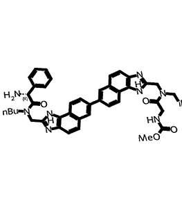 CCCCN(Cc1nc2ccc3cc(-c4ccc5c(ccc6nc(CN(CC(C)C)C(=O)CNC(=O)OC)[nH]c65)c4)ccc3c2[nH]1)C(=O)[C@H](N)c1ccccc1